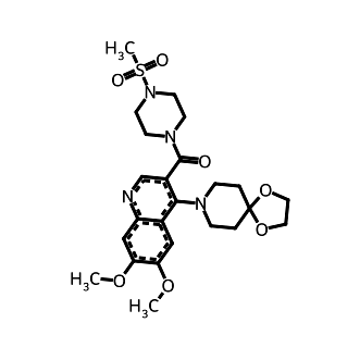 COc1cc2ncc(C(=O)N3CCN(S(C)(=O)=O)CC3)c(N3CCC4(CC3)OCCO4)c2cc1OC